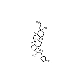 COC[C@@]1(O)CC[C@H]2[C@H](CC[C@@H]3[C@@H]2CC[C@]2(C)C([C@@H](C)Cn4cc(C)cn4)CC[C@@H]32)C1